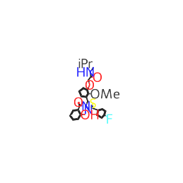 COc1c(OCC(=O)NCC(C)C)cccc1C1SC(c2ccc(F)cc2)=NN1C(=O)c1ccccc1O